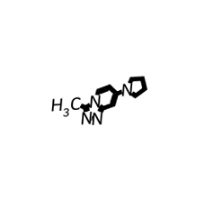 Cc1nnc2cc(N3CCCC3)ccn12